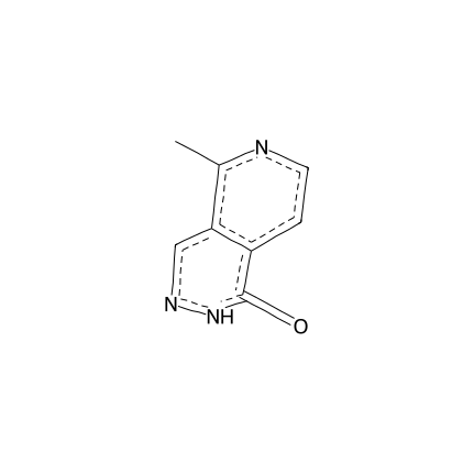 Cc1nccc2c(=O)[nH]ncc12